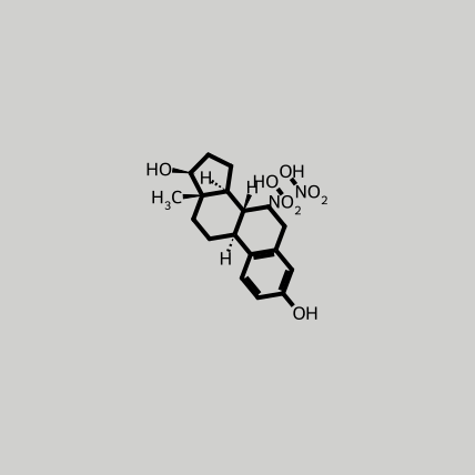 C[C@]12CC[C@@H]3c4ccc(O)cc4CC[C@H]3[C@@H]1CC[C@@H]2O.O=[N+]([O-])O.O=[N+]([O-])O